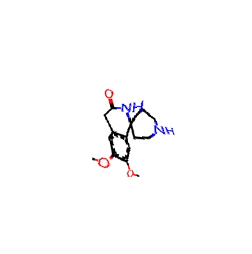 COc1cc2c(cc1OC)C1(CCNCC1)NC(=O)C2